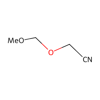 COCOCC#N